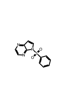 O=S(=O)(c1ccccc1)n1ccc2nccnc21